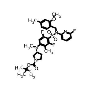 COc1cc(C)ccc1CN(c1cccc(F)n1)S(=O)(=O)c1c(F)cc(N(C)[C@H]2CCN(C(=O)OC(C)(C)C)C2)c(C)c1F